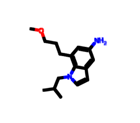 COCCCc1cc(N)cc2ccn(CC(C)C)c12